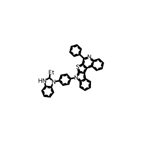 CCC1Nc2ccccc2N1c1ccc(-n2c3ccccc3c3c4c(sc32)c(-c2ccccc2)nc2ccccc24)cc1